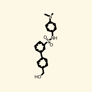 CN(C)c1ccc(NS(=O)(=O)c2cccc(-c3ccc(CO)cc3)c2)cc1